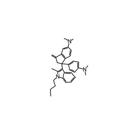 C=C1CC(c2ccc(N(C)C)cc2)(c2c(C)n(CCCC)c3ccccc23)c2ccc(N(C)C)cc21